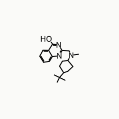 CN(Cc1nc(O)c2ccccc2n1)C1CCC(C(C)(C)C)CC1